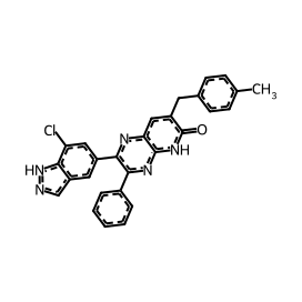 Cc1ccc(Cc2cc3nc(-c4cc(Cl)c5[nH]ncc5c4)c(-c4ccccc4)nc3[nH]c2=O)cc1